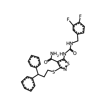 NC(=O)c1c(SCCC(c2ccccc2)c2ccccc2)nsc1NC(=O)NCc1ccc(F)c(F)c1